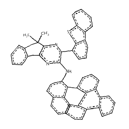 CC1(C)c2ccccc2-c2nc(Nc3ccc4ccccc4c3-c3cccc4c5ccccc5c5ccccc5c34)c(-c3cccc4c3sc3ccccc34)nc21